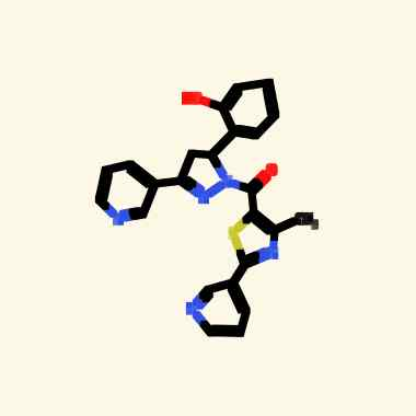 Cc1nc(-c2cccnc2)sc1C(=O)N1N=C(c2cccnc2)CC1c1ccccc1O